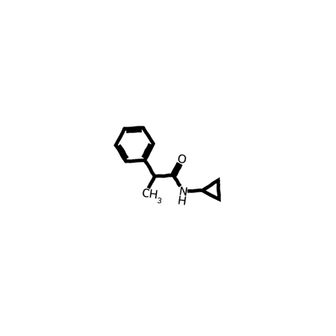 CC(C(=O)NC1CC1)c1ccccc1